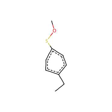 CCc1ccc(SOC)cc1